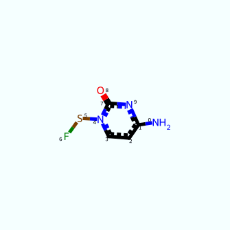 Nc1ccn(SF)c(=O)n1